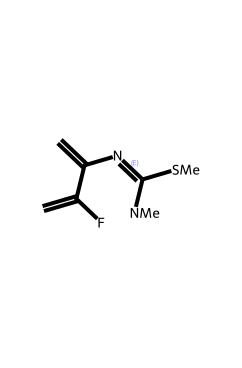 C=C(F)C(=C)/N=C(\NC)SC